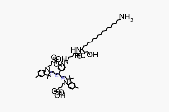 Cc1ccc2c(c1)C(C)(C)C(/C=C/C(=C/C=C1/N(CCCS(=O)(=O)O)c3ccc(C)cc3C1(C)C)c1cc[n+](CCCCCC(=O)NC(CCCCCCCCCCCCCCCCN)C(O)CO)cc1)=[N+]2CCCS(=O)(=O)O